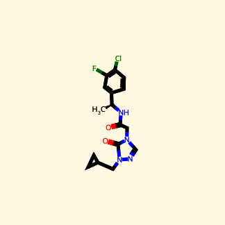 C[C@H](NC(=O)Cn1cnn(CC2CC2)c1=O)c1ccc(Cl)c(F)c1